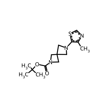 Cc1ncsc1N1CC2(CN(C(=O)OC(C)(C)C)C2)C1